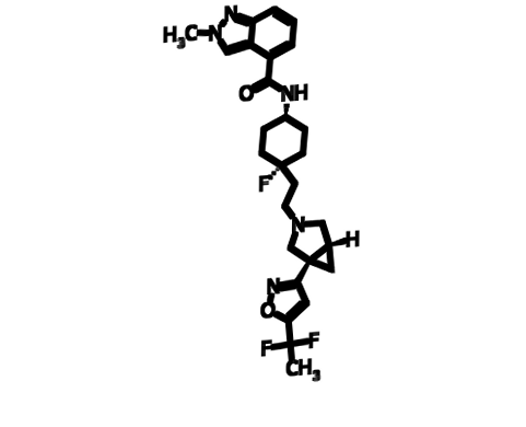 Cn1cc2c(C(=O)N[C@H]3CC[C@](F)(CCN4C[C@@H]5C[C@]5(c5cc(C(C)(F)F)on5)C4)CC3)cccc2n1